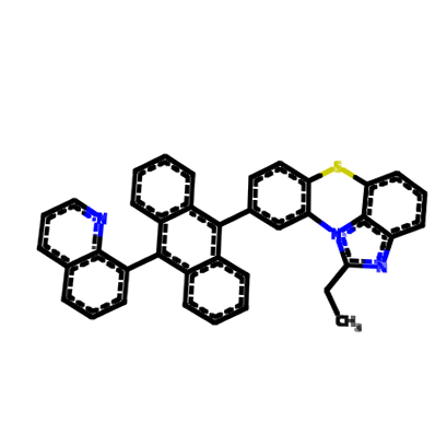 CCc1nc2cccc3c2n1-c1cc(-c2c4ccccc4c(-c4cccc5cccnc45)c4ccccc24)ccc1S3